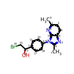 Cc1ccc2nc(C)n(-c3ccc(C(O)CBr)cc3)c2n1